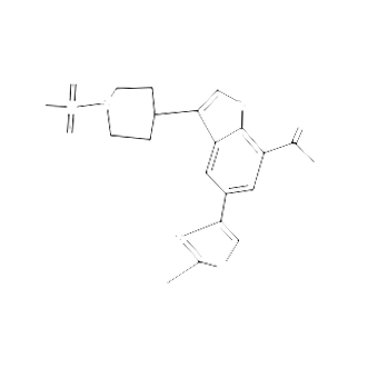 CCS(=O)(=O)N1CCC(c2c[nH]c3c(C(N)=O)cc(-c4csc(C=O)n4)cc23)CC1